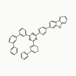 C1=C(c2ccccc2)C=C(c2nc(-c3ccc(-c4ccc5c(c4)oc4ccccc45)cc3)nc(-c3cccc(-c4cccc(-c5ccccc5)c4)c3)n2)CC1